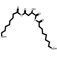 CCCCCCCCCCCCCCCCCC(=O)OC(=O)CC(O)C(=O)OC(=O)CCCCCCCCCCCCCCCCC